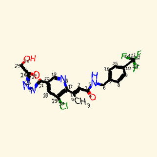 C/C(=C\C(=O)NCc1ccc(C(F)(F)F)cc1)c1ncc(-c2nnc(CO)o2)cc1Cl